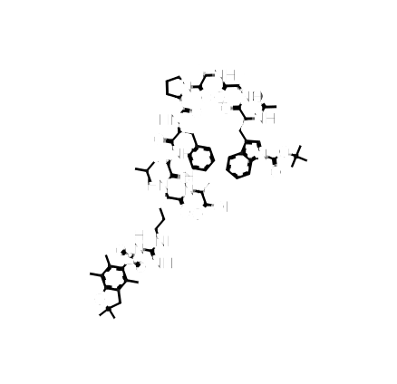 CC(=O)N[C@@H](Cc1cn(C(=O)OC(C)(C)C)c2ccccc12)C(=O)N[C@@H](C)C(=O)N[C@@H](C)C(=O)N1CCC[C@H]1C(=O)N[C@@H](Cc1ccccc1)C(=O)N[C@@H](CC(C)C)C(=O)N[C@@H](CCCNC(=N)NS(=O)(=O)c1c(C)c(C)c2c(c1C)CC(C)(C)O2)C(=O)N[C@@H](C)C(=O)O